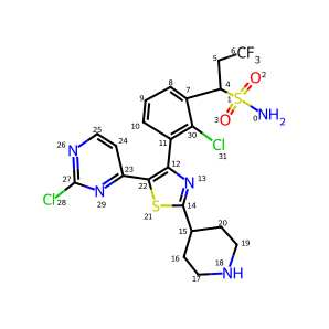 NS(=O)(=O)C(CC(F)(F)F)c1cccc(-c2nc(C3CCNCC3)sc2-c2ccnc(Cl)n2)c1Cl